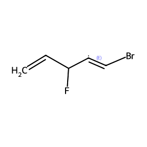 C=CC(F)/[C]=C/Br